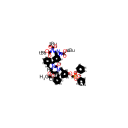 CC(C)(C)OC(=O)N(C(=O)OC(C)(C)C)c1nn(C(=O)OC(C)(C)C)c2ccc(CN3C(=O)N(Cc4cccc(OCP(=O)(Oc5ccccc5)Oc5ccccc5)c4)[C@H](Cc4ccccc4)[C@@H]4OC(C)(C)O[C@H]4[C@H]3Cc3ccccc3)cc12